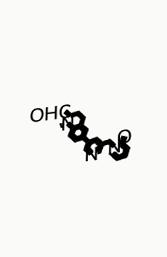 CN1c2ccc(-c3cncc(Cn4ccccc4=O)c3)cc2CCC1C=O